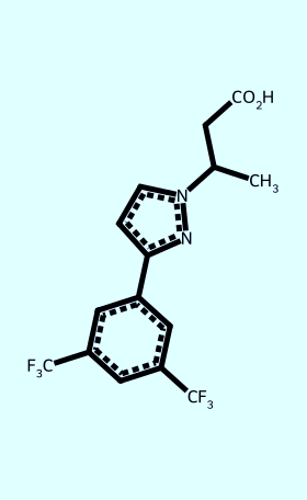 CC(CC(=O)O)n1ccc(-c2cc(C(F)(F)F)cc(C(F)(F)F)c2)n1